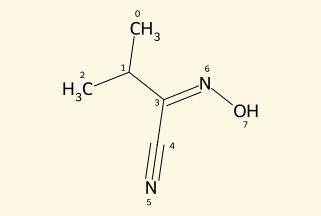 CC(C)C(C#N)=NO